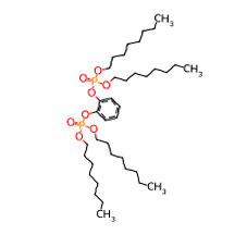 CCCCCCCCOP(=O)(OCCCCCCCC)Oc1ccccc1OP(=O)(OCCCCCCCC)OCCCCCCCC